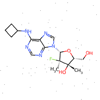 C[C@]1(O)[C@@H](CO)O[C@@H](n2cnc3c(NC4CCC4)ncnc32)[C@]1(C)F